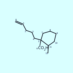 C=CCCCC1(C(=O)O)CCCCC1C